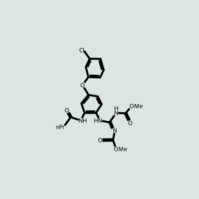 CCCC(=O)Nc1cc(Oc2cccc(Cl)c2)ccc1NC(=NC(=O)OC)NC(=O)OC